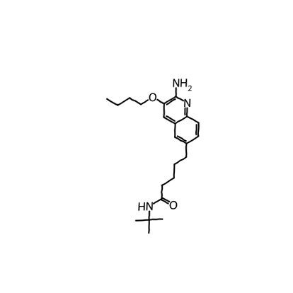 CCCCOc1cc2cc(CCCCC(=O)NC(C)(C)C)ccc2nc1N